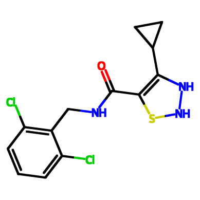 O=C(NCc1c(Cl)cccc1Cl)C1=C(C2CC2)NNS1